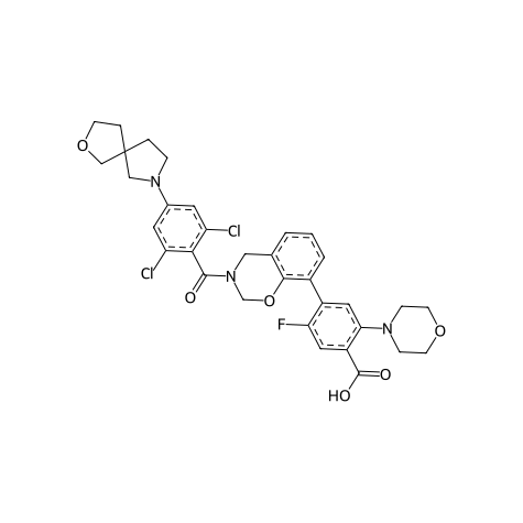 O=C(O)c1cc(F)c(-c2cccc3c2OCN(C(=O)c2c(Cl)cc(N4CCC5(CCOC5)C4)cc2Cl)C3)cc1N1CCOCC1